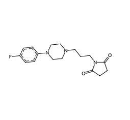 O=C1CCC(=O)N1CCCN1CCN(c2ccc(F)cc2)CC1